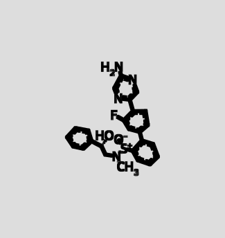 CN(C[C@@H](O)c1ccccc1)[S+]([O-])c1ccccc1-c1ccc(-c2cnc(N)cn2)c(F)c1